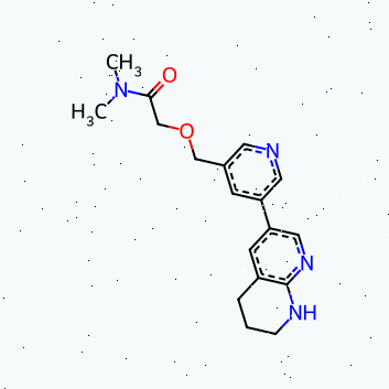 CN(C)C(=O)COCc1cncc(-c2cnc3c(c2)CCCN3)c1